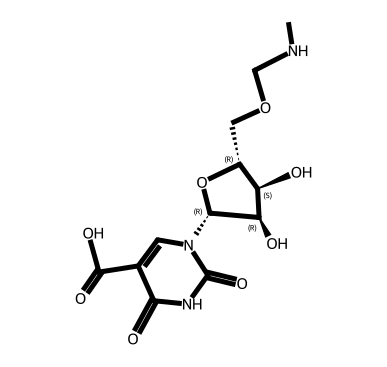 CNCOC[C@H]1O[C@@H](n2cc(C(=O)O)c(=O)[nH]c2=O)[C@H](O)[C@@H]1O